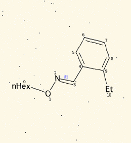 CCCCCCO/N=[C]/c1ccccc1CC